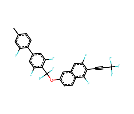 Cc1ccc(-c2cc(F)c(C(F)(F)Oc3ccc4c(F)c(C#CC(F)(F)F)c(F)cc4c3)c(F)c2)c(F)c1